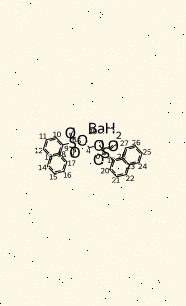 O=S(=O)(OCOS(=O)(=O)c1cccc2ccccc12)c1cccc2ccccc12.[BaH2]